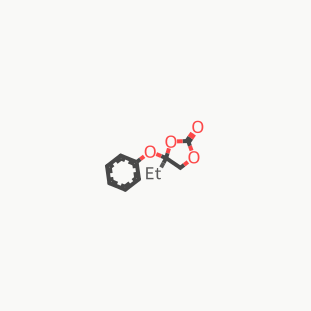 CCC1(Oc2ccccc2)COC(=O)O1